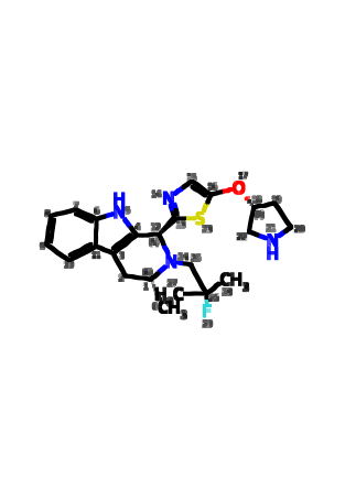 C[C@@H]1Cc2c([nH]c3ccccc23)[C@@H](c2ncc(O[C@@H]3CCNC3)s2)N1CC(C)(C)F